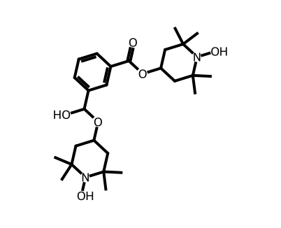 CC1(C)CC(OC(=O)c2cccc(C(O)OC3CC(C)(C)N(O)C(C)(C)C3)c2)CC(C)(C)N1O